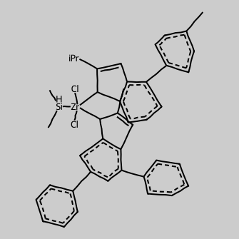 CC1=Cc2c(-c3ccccc3)cc(-c3ccccc3)cc2[CH]1[Zr]([Cl])([Cl])([CH]1C(C(C)C)=Cc2c(-c3ccc(C)cc3)cccc21)[SiH](C)C